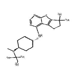 [2H]C1([2H])CCc2c1sc1ncnc(N[C@H]3CC[C@H](N(C)C([2H])([2H])[2H])CC3)c21